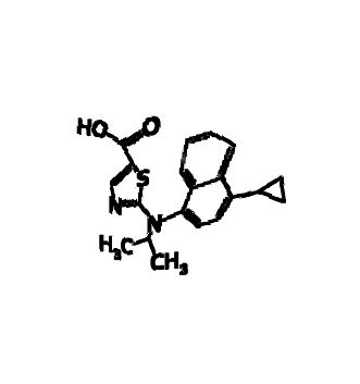 CC(C)N(c1ncc(C(=O)O)s1)c1ccc(C2CC2)c2ccccc12